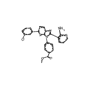 COC(=O)c1ccc(-n2c(-c3cccnc3N)nc3ccc(-c4cccc(Cl)c4)nc32)cc1